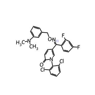 CN(C)c1cccc(CO/N=C(\c2ccc(=O)n(-c3c(Cl)cccc3Cl)c2)c2ccc(F)cc2F)c1